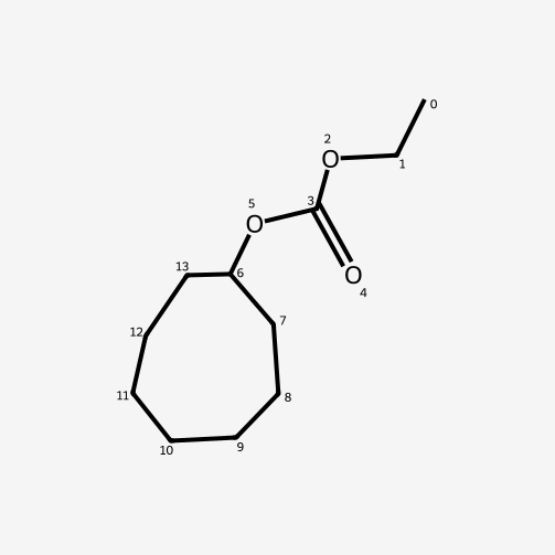 CCOC(=O)OC1CCCCCCC1